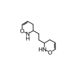 C1=CONC(CCC2CC=CON2)C1